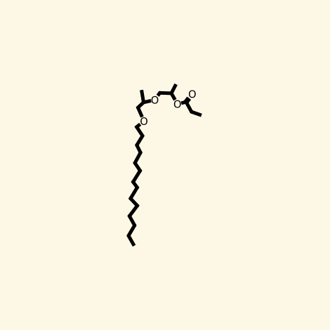 CCCCCCCCCCCCCCOCC(C)OCC(C)OC(=O)CC